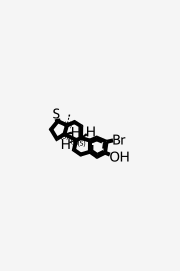 C[C@]12CC[C@@H]3c4cc(Br)c(O)cc4CC[C@H]3[C@@H]1CCC2=S